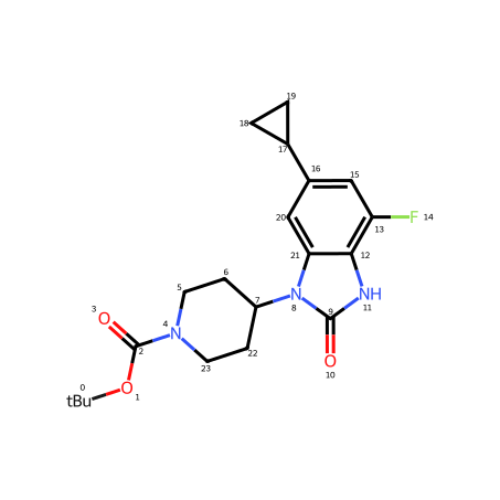 CC(C)(C)OC(=O)N1CCC(n2c(=O)[nH]c3c(F)cc(C4CC4)cc32)CC1